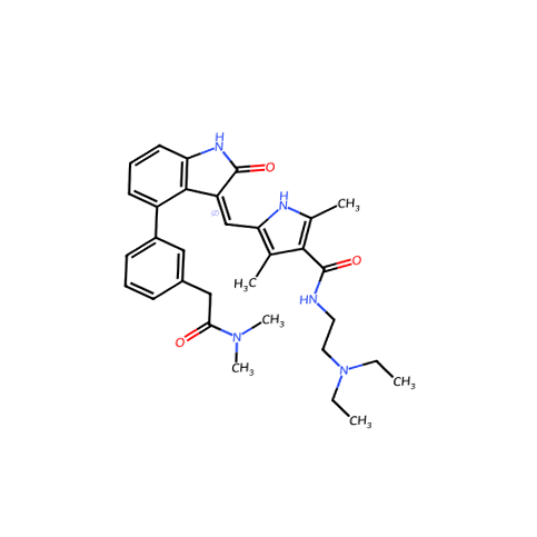 CCN(CC)CCNC(=O)c1c(C)[nH]c(/C=C2\C(=O)Nc3cccc(-c4cccc(CC(=O)N(C)C)c4)c32)c1C